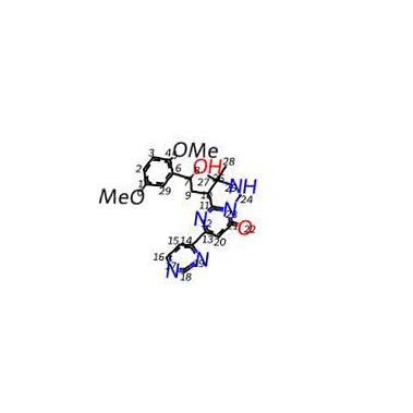 COc1ccc(OC)c(C(O)CC2c3nc(-c4ccncn4)cc(=O)n3CNC2(C)C)c1